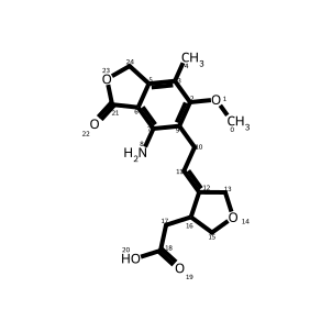 COc1c(C)c2c(c(N)c1CC=C1COCC1CC(=O)O)C(=O)OC2